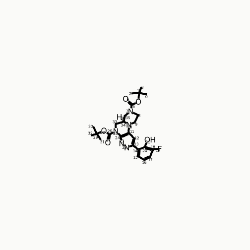 CC(C)(C)OC(=O)N1CCN2c3cc(-c4cccc(F)c4O)nnc3N(C(=O)OC(C)(C)C)C[C@H]2C1